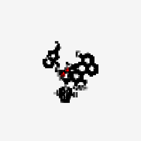 COc1c(F)c(-c2cccc3ccc(F)c(C#C[Si](C(C)C)(C(C)C)C(C)C)c23)c(F)c2nc(OC[C@@]34CCCN3C/C(=C\F)C4)nc(N3C[C@H]4CC[C@@H](C3)N4)c12